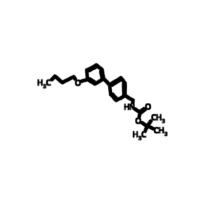 CCCCOc1cccc(-c2ccc(CNC(=O)OC(C)(C)C)cc2)c1